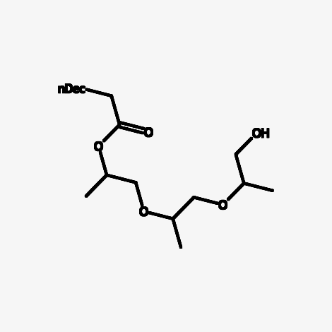 CCCCCCCCCCCC(=O)OC(C)COC(C)COC(C)CO